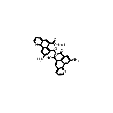 Cl.Nc1cc(C(=O)OC(=O)c2cc(N)cc3c2c(C(=O)O)cc2cccnc23)c2c(C(=O)O)cc3cccnc3c2c1